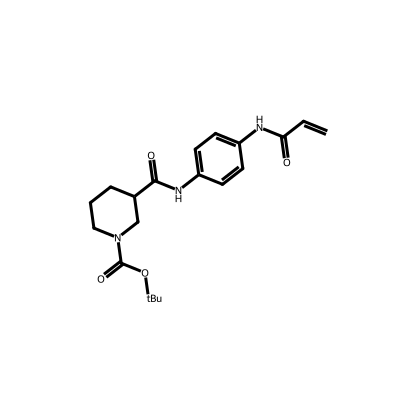 C=CC(=O)Nc1ccc(NC(=O)C2CCCN(C(=O)OC(C)(C)C)C2)cc1